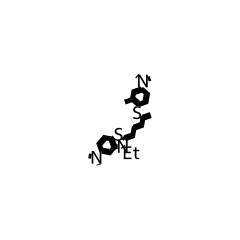 C=C(/C=C/C=C1\Sc2ccc(N(C)C)cc2N1CC)Sc1ccc(N(C)C)cc1C